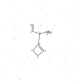 C=CC(CCCC)C1=CCC1